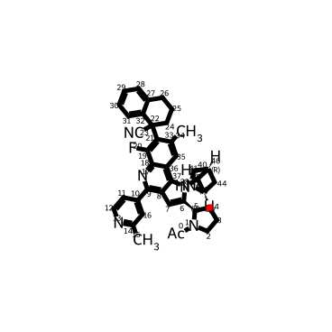 CC(=O)N1CCC[C@@H]1c1cc2c(-c3ccnc(C)c3)nc3c(F)c(C4(C#N)CCCc5ccccc54)c(C)cc3c2n1[C@H]1[C@H]2CN[C@@H]1C2